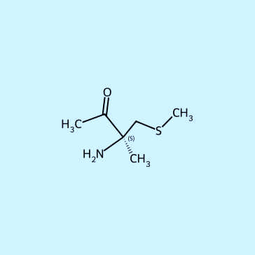 CSC[C@@](C)(N)C(C)=O